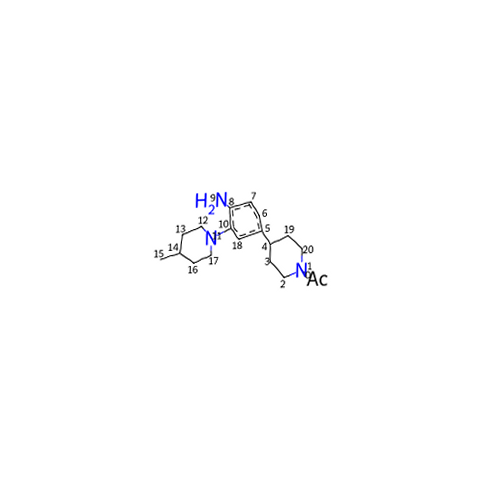 CC(=O)N1CCC(c2ccc(N)c(N3CCC(C)CC3)c2)CC1